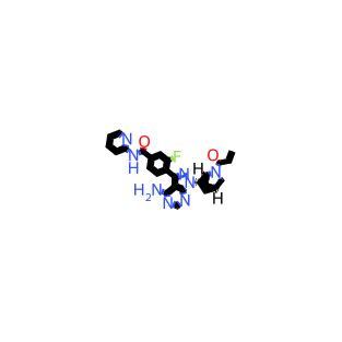 C=CC(=O)N1C[C@@H]2C[C@@H]1[C@@H](n1nc(-c3ccc(C(=O)Nc4ccccn4)cc3F)c3c(N)ncnc31)C2